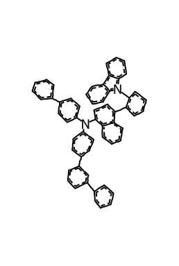 c1ccc(-c2ccc(N(c3ccc(-c4cccc(-c5ccccc5)c4)cc3)c3ccc(-c4ccccc4-n4c5ccccc5c5ccccc54)c4ccccc34)cc2)cc1